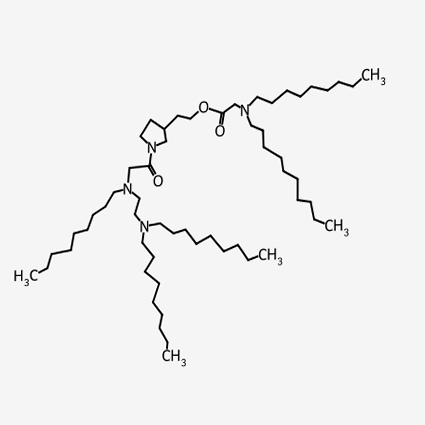 CCCCCCCCCCN(CCCCCCCCC)CC(=O)OCCC1CCN(C(=O)CN(CCCCCCCCC)CCN(CCCCCCCCC)CCCCCCCCC)C1